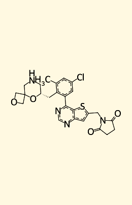 Cc1cc(Cl)cc(-c2ncnc3cc(CN4C(=O)CCC4=O)sc23)c1C[C@H]1CNCC2(COC2)O1